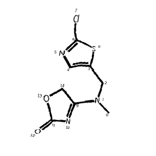 CN(Cc1cnc(Cl)s1)C1=NC(=O)OC1